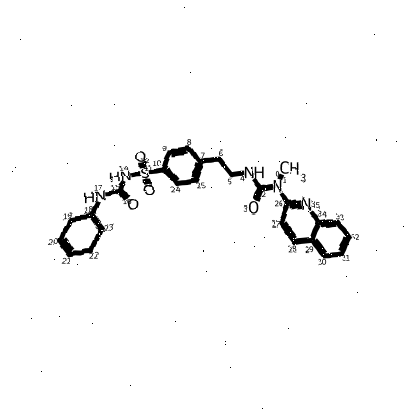 CN(C(=O)NCCc1ccc(S(=O)(=O)NC(=O)NC2CC=CCC2)cc1)c1ccc2ccccc2n1